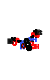 CCC(C)(C)C(=O)OCCNc1ccc(NCCOC(=O)C(C)(C)CC)c2c1C(=O)c1cccc(O)c1C2=O